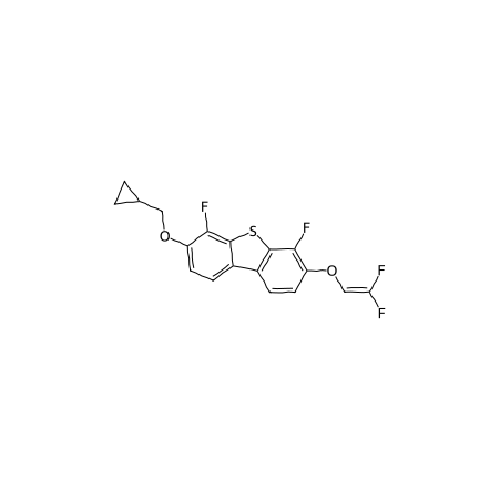 FC(F)=COc1ccc2c(sc3c(F)c(OCC4CC4)ccc32)c1F